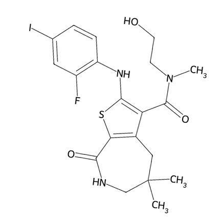 CN(CCO)C(=O)c1c(Nc2ccc(I)cc2F)sc2c1CC(C)(C)CNC2=O